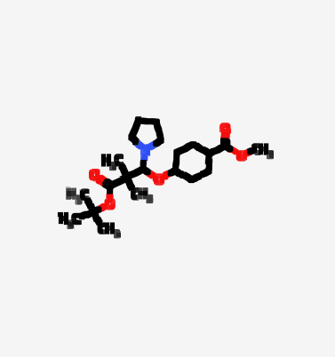 COC(=O)C1CCC(OC(N2CCCC2)C(C)(C)C(=O)OC(C)(C)C)CC1